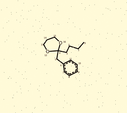 CCCCC1(Cc2ccccc2)OCCCO1